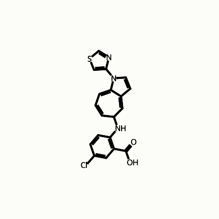 O=C(O)c1cc(Cl)ccc1NC1C=CC=c2c(ccn2-c2cscn2)=C1